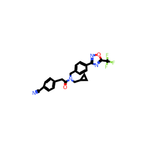 N#Cc1ccc(CC(=O)N(Cc2ccc(-c3noc(C(F)(F)F)n3)cc2)CC2CC2)cc1